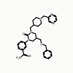 N=C(N)c1cccc(N2CC(COCc3ccccc3)CN(CC3CCN(Cc4cnccn4)CC3)C2=O)c1